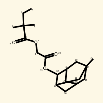 CCC(C)(C)C(=O)OCC(=O)OC1C2CC3CC1CC(C)(C3)C2